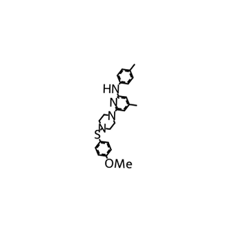 COc1ccc(SN2CCN(c3cc(C)cc(Nc4ccc(C)cc4)n3)CC2)cc1